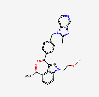 CCOCCn1cc(C(=O)c2ccc(Cn3c(C)nc4cnccc43)cc2)c2c(C(=O)OC)cccc21